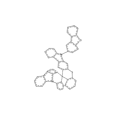 c1ccc2c(c1)Sc1cc3c(cc1C21c2ccccc2-n2c4ccccc4c4cccc1c42)c1ccccc1n3-c1ccc2oc3ccccc3c2c1